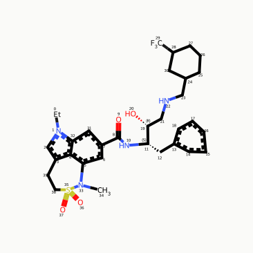 CCn1cc2c3c(cc(C(=O)N[C@@H](Cc4ccccc4)[C@H](O)CNCC4CCCC(C(F)(F)F)C4)cc31)N(C)S(=O)(=O)CC2